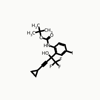 CC(C)(C)OC(=O)Nc1ccc(I)cc1C(O)(C#CC1CC1)C(F)(F)F